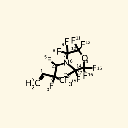 C=CC(F)(C(F)N1C(F)(F)C(F)(F)OC(F)(F)C1(F)F)C(F)(F)F